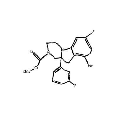 CC(C)(C)OC(=O)N1CCN2c3cc(F)cc(Br)c3CC2(c2cccc(F)c2)C1